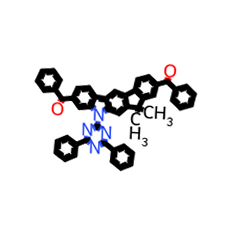 CC1(C)c2cc(C(=O)c3ccccc3)ccc2-c2cc3c4ccc(C(=O)c5ccccc5)cc4n(-c4nc(-c5ccccc5)nc(-c5ccccc5)n4)c3cc21